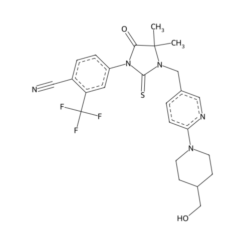 CC1(C)C(=O)N(c2ccc(C#N)c(C(F)(F)F)c2)C(=S)N1Cc1ccc(N2CCC(CO)CC2)nc1